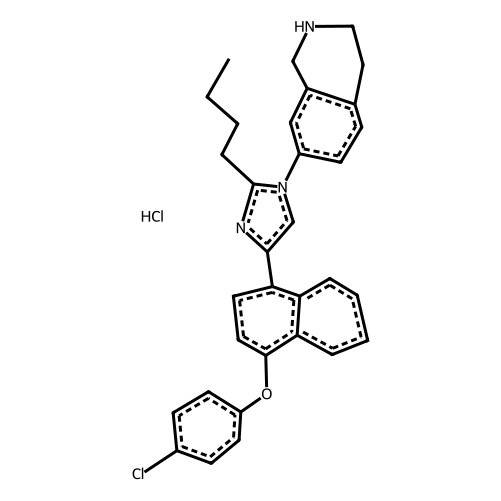 CCCCc1nc(-c2ccc(Oc3ccc(Cl)cc3)c3ccccc23)cn1-c1ccc2c(c1)CNCC2.Cl